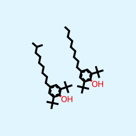 CC(C)CCCCCCCc1cc(C(C)(C)C)c(O)c(C(C)(C)C)c1.CCCCCCCCCc1cc(C(C)(C)C)c(O)c(C(C)(C)C)c1